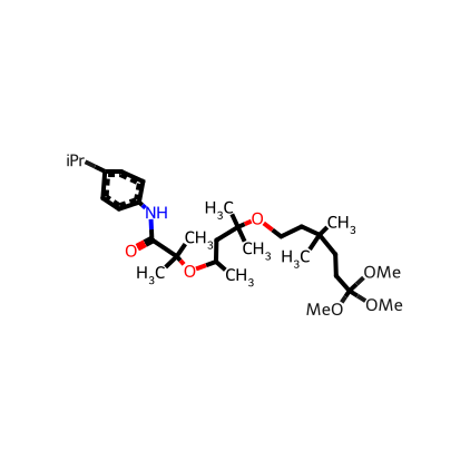 COC(CCC(C)(C)CCOC(C)(C)CC(C)OC(C)(C)C(=O)Nc1ccc(C(C)C)cc1)(OC)OC